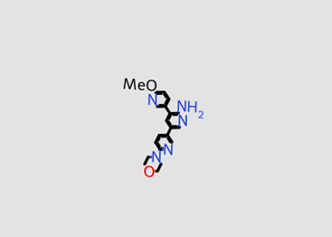 COc1ccc(-c2cc(-c3ccc(N4CCOCC4)nc3)cnc2N)cn1